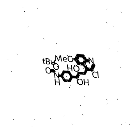 COc1ccc2ncc(Cl)c(CC(O)C(O)C3CCC(NC(=O)OC(C)(C)C)CC3)c2c1